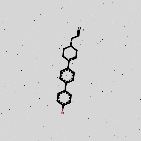 C=CCC1CC=C(c2ccc(-c3ccc(Br)cc3)cc2)CC1